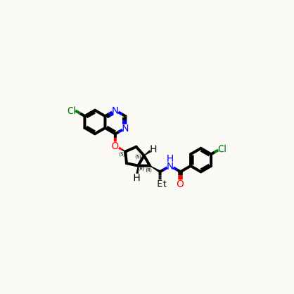 CCC(NC(=O)c1ccc(Cl)cc1)[C@H]1[C@@H]2C[C@@H](Oc3ncnc4cc(Cl)ccc34)C[C@@H]21